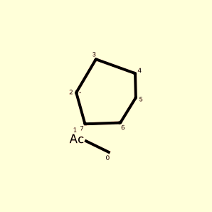 CC(C)=O.[CH]1CCCCC1